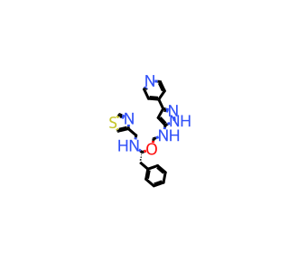 c1ccc(C[C@H](NCc2cscn2)OCNc2cc(-c3ccncc3)n[nH]2)cc1